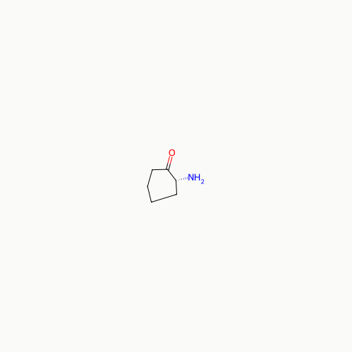 N[C@@H]1CCCCC1=O